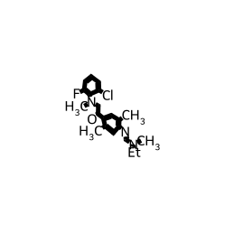 CCN(C)C=Nc1cc(C)c(C(=O)CN(C)c2c(F)cccc2Cl)cc1C